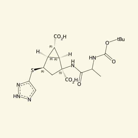 CC(NC(=O)OC(C)(C)C)C(=O)N[C@@]1(C(=O)O)C[C@@H](Sc2cn[nH]n2)[C@H]2[C@H](C(=O)O)[C@H]21